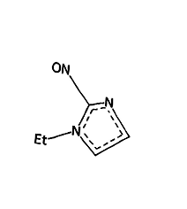 CCn1ccnc1N=O